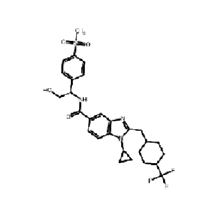 CS(=O)(=O)c1ccc([C@H](CO)NC(=O)c2ccc3c(c2)nc(CC2CCC(C(F)(F)F)CC2)n3C2CC2)cc1